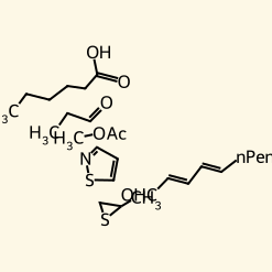 CC1CS1.CCC=O.CCCCCC(=O)O.CCCCCC=CC=CC=O.COC(C)=O.c1cnsc1